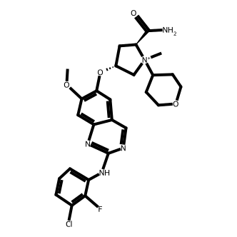 COc1cc2nc(Nc3cccc(Cl)c3F)ncc2cc1O[C@@H]1C[C@@H](C(N)=O)[N+](C)(C2CCOCC2)C1